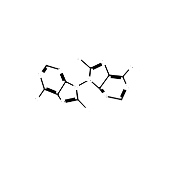 Nc1ncnc2c1nc(S)n2-n1c(Br)nc2c(N)ncnc21